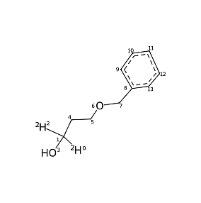 [2H]C([2H])(O)CCOCc1ccccc1